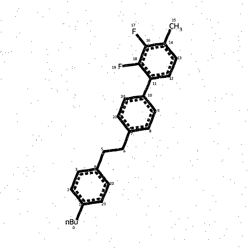 CCCCc1ccc(CCc2ccc(-c3ccc(C)c(F)c3F)cc2)cc1